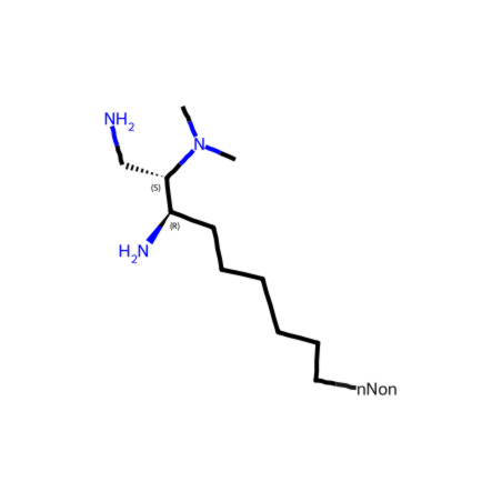 CCCCCCCCCCCCCCC[C@@H](N)[C@H](CN)N(C)C